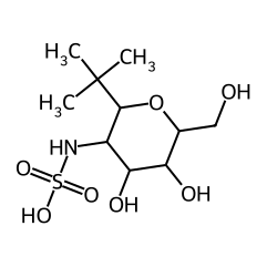 CC(C)(C)C1OC(CO)C(O)C(O)C1NS(=O)(=O)O